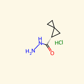 Cl.NNC(=O)[C@H]1CC12CC2